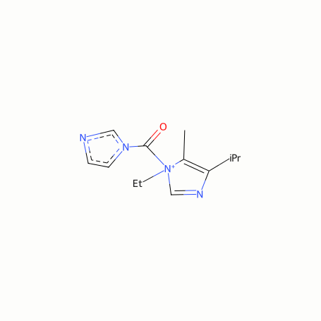 CC[N+]1(C(=O)n2ccnc2)C=NC(C(C)C)=C1C